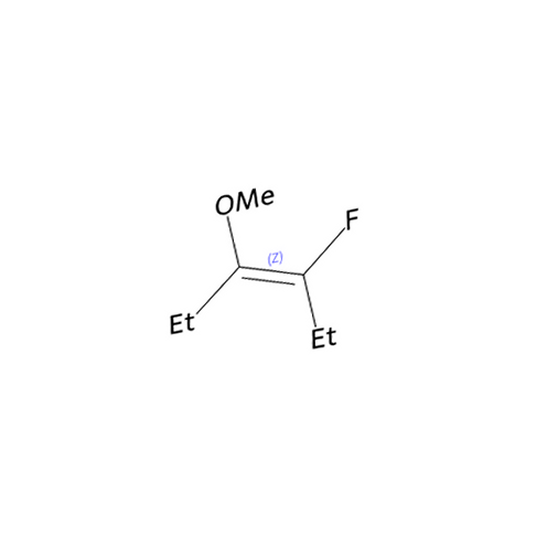 CC/C(F)=C(\CC)OC